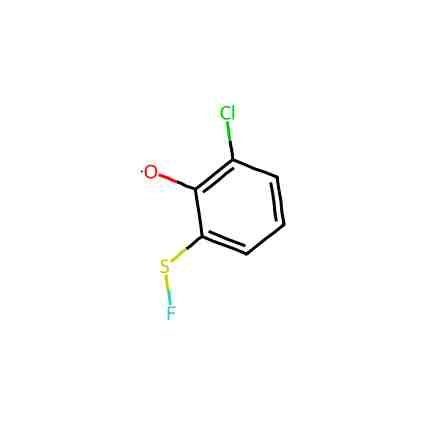 [O]c1c(Cl)cccc1SF